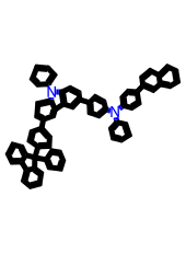 c1ccc(N(c2ccc(-c3ccc4ccccc4c3)cc2)c2ccc(-c3ccc4c(c3)c3cc(-c5ccc(C6(c7ccccc7)c7ccccc7-c7ccccc76)cc5)ccc3n4-c3ccccc3)cc2)cc1